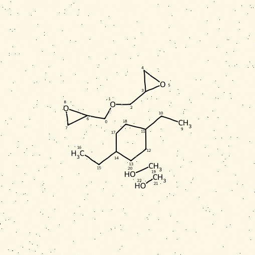 C(OCC1CO1)C1CO1.CCC1CCC(CC)CC1.CO.CO